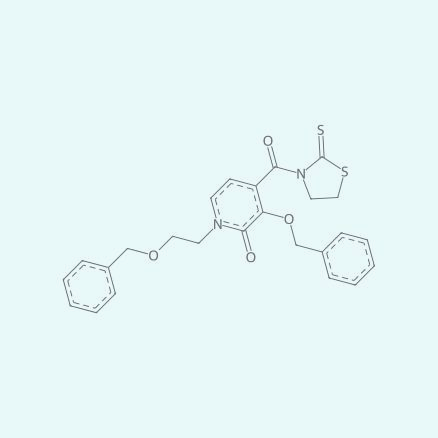 O=C(c1ccn(CCOCc2ccccc2)c(=O)c1OCc1ccccc1)N1CCSC1=S